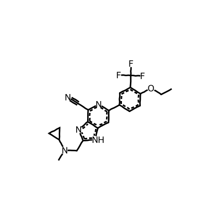 CCOc1ccc(-c2cc3[nH]c(CN(C)C4CC4)nc3c(C#N)n2)cc1C(F)(F)F